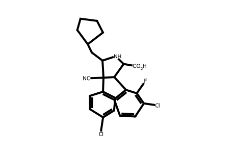 N#CC1(c2ccc(Cl)cc2)C(CC2CCCC2)NC(C(=O)O)C1c1cccc(Cl)c1F